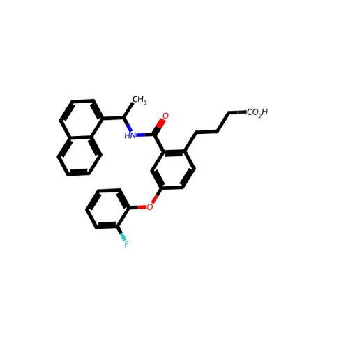 CC(NC(=O)c1cc(Oc2ccccc2F)ccc1CCCC(=O)O)c1cccc2ccccc12